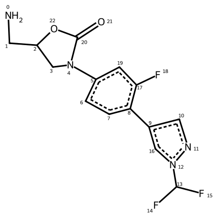 NCC1CN(c2ccc(-c3cnn(C(F)F)c3)c(F)c2)C(=O)O1